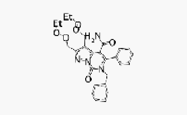 CCOOCc1nn2c(=O)n(Cc3ccccc3)c(-c3ccccc3)c(C(N)=O)c2c1COOCC